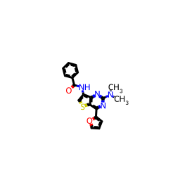 CN(C)c1nc(-c2ccco2)c2scc(NC(=O)c3ccccc3)c2n1